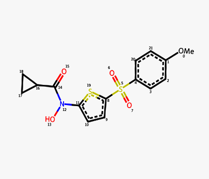 COc1ccc(S(=O)(=O)c2ccc(N(O)C(=O)C3CC3)s2)cc1